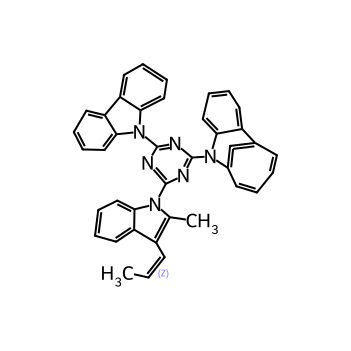 C/C=C\c1c(C)n(-c2nc(N3C4=C=C(C=CC=C4)c4ccccc43)nc(-n3c4ccccc4c4ccccc43)n2)c2ccccc12